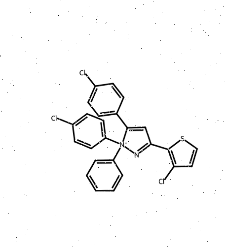 Clc1ccc(C2=CC(c3sccc3Cl)=N[N+]2(c2ccccc2)c2ccc(Cl)cc2)cc1